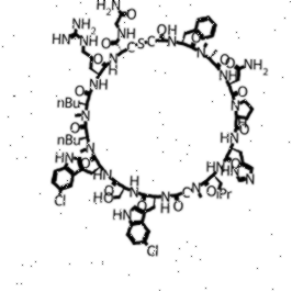 CCCC[C@H]1C(=O)N(C)[C@@H](CCCC)C(=O)N[C@@H](CCCNC(=N)N)C(=O)N[C@H](C(=O)NCC(N)=O)CSCC(=O)N[C@@H](Cc2ccccc2)C(=O)N(C)[C@@H](C)C(=O)N[C@@H](CC(N)=O)C(=O)N2CCC[C@H]2C(=O)N[C@@H](Cc2cnc[nH]2)C(=O)N[C@@H](CC(C)C)C(=O)N(C)CC(=O)N[C@@H](Cc2c[nH]c3ccc(Cl)cc23)C(=O)N[C@@H](CO)C(=O)N[C@@H](Cc2c[nH]c3ccc(Cl)cc23)C(=O)N1C